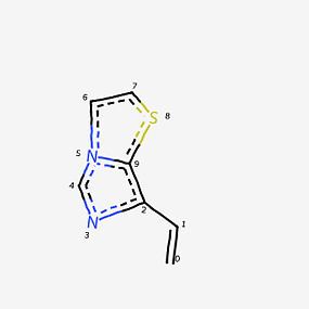 C=Cc1ncn2ccsc12